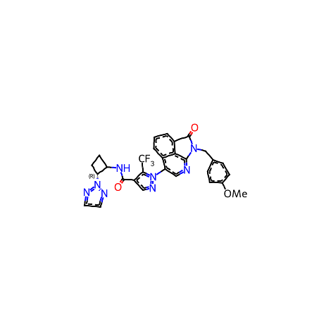 COc1ccc(CN2C(=O)c3cccc4c(-n5ncc(C(=O)NC6CC[C@H]6n6nccn6)c5C(F)(F)F)cnc2c34)cc1